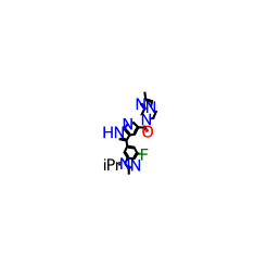 Cc1cn2c(n1)CN(C(=O)c1cnc3[nH]cc(-c4cc(F)c5nc(C)n(C(C)C)c5c4)c3c1)CC2